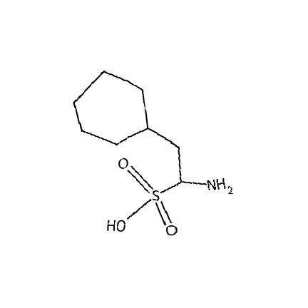 NC(CC1CCCCC1)S(=O)(=O)O